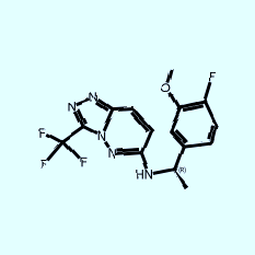 COc1cc([C@@H](C)Nc2ccc3nnc(C(F)(F)F)n3n2)ccc1F